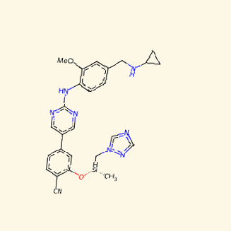 COc1cc(CNC2CC2)ccc1Nc1ncc(-c2ccc(C#N)c(O[Si@@H](C)Cn3cncn3)c2)cn1